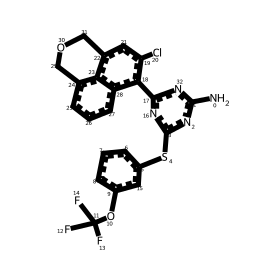 Nc1nc(Sc2cccc(OC(F)(F)F)c2)nc(-c2c(Cl)cc3c4c(cccc24)COC3)n1